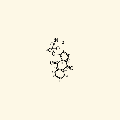 NOS(=O)(=O)Oc1cccc2c1C(=O)c1ccccc1C2=O